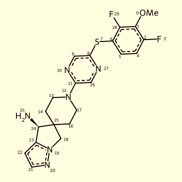 COc1c(F)ccc(Sc2cnc(N3CCC4(CC3)Cn3nccc3[C@H]4N)cn2)c1F